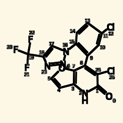 O=c1[nH]c2ccoc2c(-c2cc(Cl)ccc2-n2cc(C(F)(F)F)nn2)c1Cl